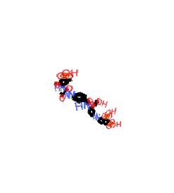 COc1cc(S(=O)(=O)O)c(C)cc1NC(=O)C(/N=N/c1ccc(C(=O)Nc2ccc(/N=N/c3ccc4cc(S(=O)(=O)O)cc(S(=O)(=O)O)c4c3)cc2OCCO)cc1)C(C)=O